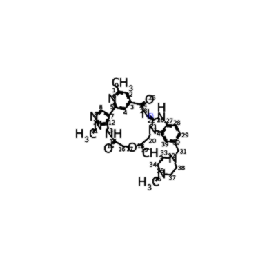 Cc1cc2cc(n1)-c1cnn(C)c1NC(=O)COC(C)CN1/C(=N/C2=O)Nc2ccc(CN3CCN(C)CC3)cc21